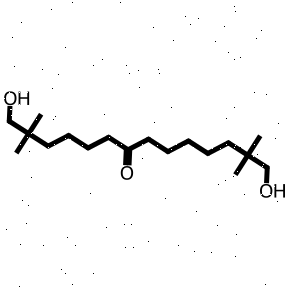 CC(C)(CO)CCCCCC(=O)CCCCC(C)(C)CO